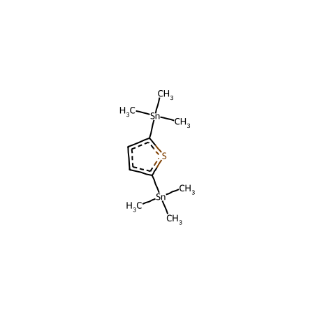 [CH3][Sn]([CH3])([CH3])[c]1cc[c]([Sn]([CH3])([CH3])[CH3])s1